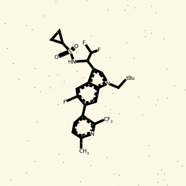 Cc1ccc(-c2cc3c(cc2F)c(C(NS(=O)(=O)C2CC2)C(F)F)cn3CC(C)(C)C)c(C(F)(F)F)n1